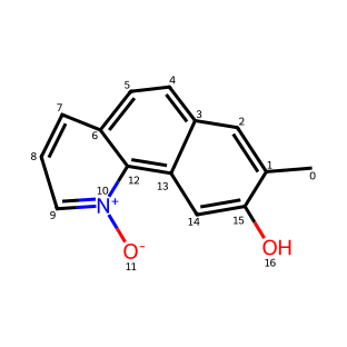 Cc1cc2ccc3ccc[n+]([O-])c3c2cc1O